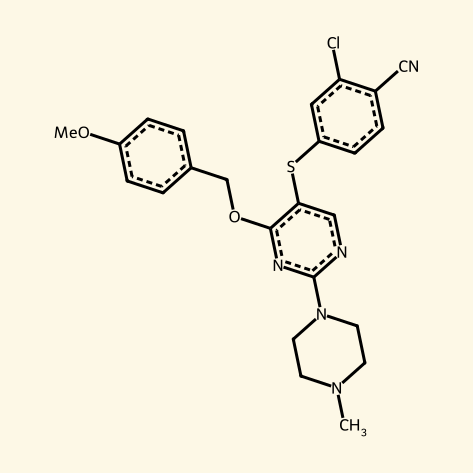 COc1ccc(COc2nc(N3CCN(C)CC3)ncc2Sc2ccc(C#N)c(Cl)c2)cc1